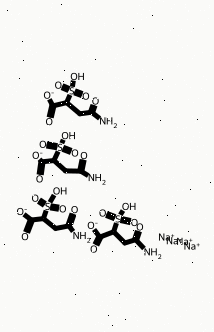 NC(=O)CC(C(=O)[O-])S(=O)(=O)O.NC(=O)CC(C(=O)[O-])S(=O)(=O)O.NC(=O)CC(C(=O)[O-])S(=O)(=O)O.NC(=O)CC(C(=O)[O-])S(=O)(=O)O.[Na+].[Na+].[Na+].[Na+]